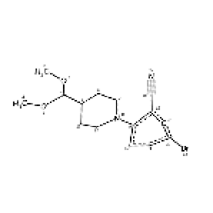 COC(OC)C1CCN(c2ccc(Br)cc2C#N)CC1